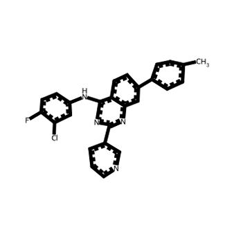 Cc1ccc(-c2ccc3c(Nc4ccc(F)c(Cl)c4)nc(-c4cccnc4)nc3c2)cc1